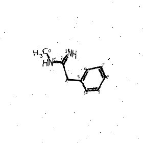 CNC(=N)Cc1ccccc1